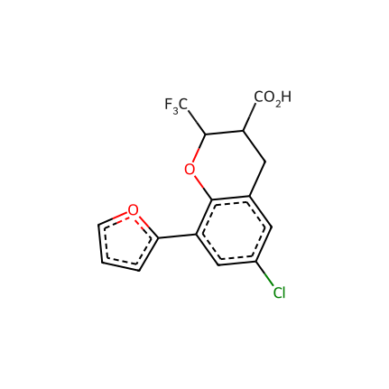 O=C(O)C1Cc2cc(Cl)cc(-c3ccco3)c2OC1C(F)(F)F